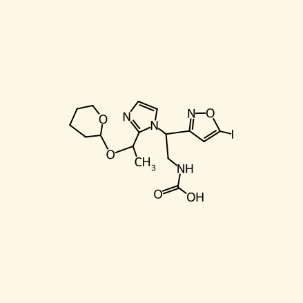 CC(OC1CCCCO1)c1nccn1C(CNC(=O)O)c1cc(I)on1